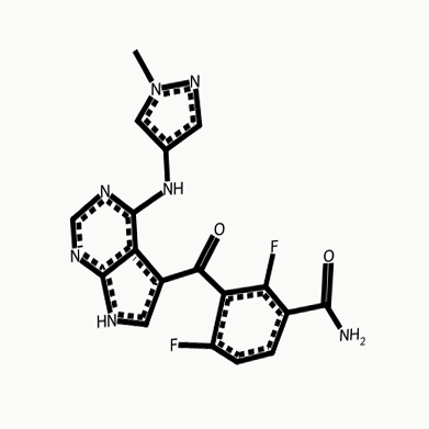 Cn1cc(Nc2ncnc3[nH]cc(C(=O)c4c(F)ccc(C(N)=O)c4F)c23)cn1